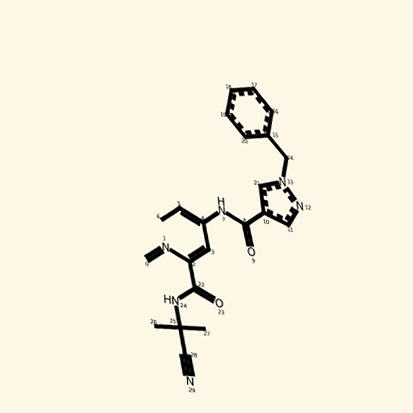 C=N/C(=C\C(=C/C)NC(=O)c1cnn(Cc2ccccc2)c1)C(=O)NC(C)(C)C#N